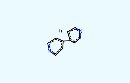 [Ti].c1cc(-c2ccncc2)ccn1